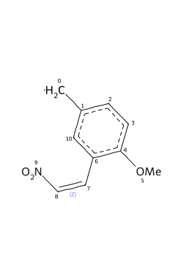 [CH2]c1ccc(OC)c(/C=C\[N+](=O)[O-])c1